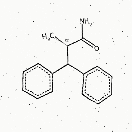 C[C@H](C(N)=O)C(c1ccccc1)c1ccccc1